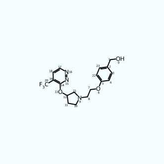 OCc1ccc(OCCN2CCC(Oc3nnccc3C(F)(F)F)C2)cc1